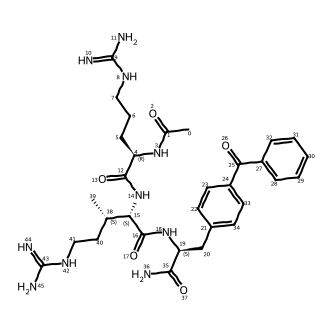 CC(=O)N[C@H](CCCNC(=N)N)C(=O)N[C@H](C(=O)N[C@@H](Cc1ccc(C(=O)c2ccccc2)cc1)C(N)=O)[C@@H](C)CCNC(=N)N